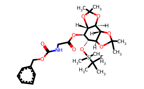 CC1(C)O[C@H]2[C@@H]3OC(C)(C)O[C@H]3[C@H](OC(=O)CNC(=O)OCc3ccccc3)[C@@H](O[Si](C)(C)C(C)(C)C)[C@@H]2O1